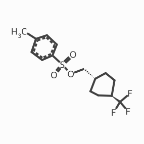 Cc1ccc(S(=O)(=O)OC[C@H]2CC[C@H](C(F)(F)F)CC2)cc1